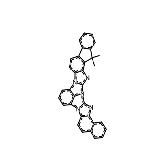 CC1(C)c2ccccc2-c2ccc3c(nc4n3c3cccc5c3n4c3nc4c6ccccc6ccc4n53)c21